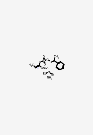 C/C=C(/CCCCCCCCC)OS(=O)(=O)OOC(C)c1ccccc1.CCOCC.N